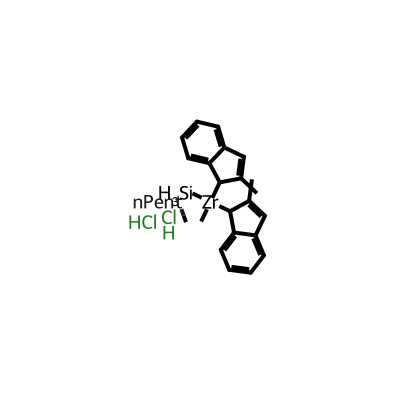 CC1=Cc2ccccc2[CH]1[Zr]([CH3])([SiH3])[CH]1C(C)=Cc2ccccc21.CCCCCC.Cl.Cl